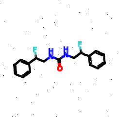 O=C(NCC(F)c1ccccc1)NCC(F)c1ccccc1